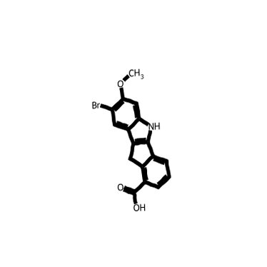 COc1cc2[nH]c3c(c2cc1Br)Cc1c(C(=O)O)cccc1-3